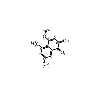 Cc1cc(C)c2c(c1)C(=O)C(=O)C=C2OC(C)C